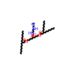 CCCCCCCCC(CCCCCCCC)CC(=O)OCCCCC(CCCCOC(=O)CC(CCCCCCCC)CCCCCCCC)OC(=O)NCCNCCN(C)C